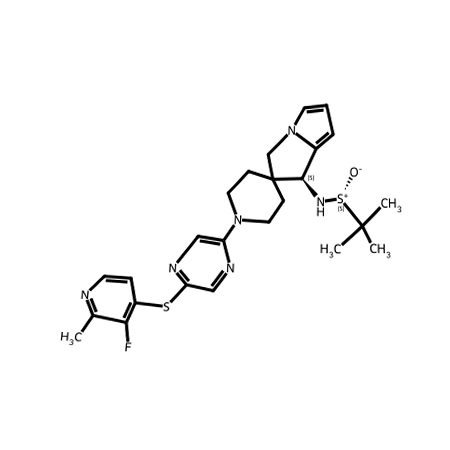 Cc1nccc(Sc2cnc(N3CCC4(CC3)Cn3cccc3[C@H]4N[S@+]([O-])C(C)(C)C)cn2)c1F